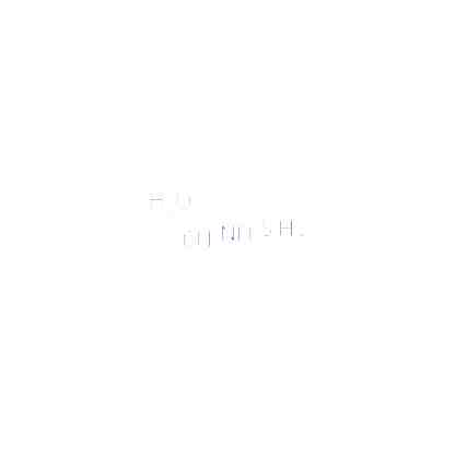 C.N.O.[SiH4]